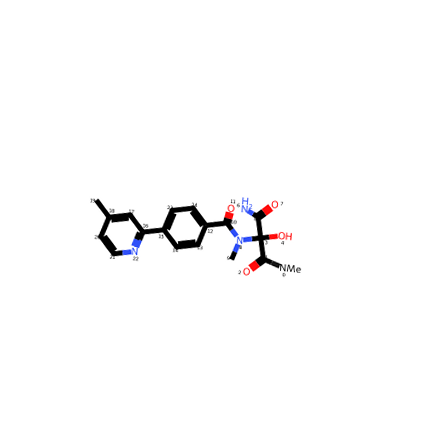 CNC(=O)C(O)(C(N)=O)N(C)C(=O)c1ccc(-c2cc(C)ccn2)cc1